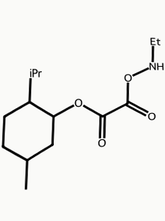 CCNOC(=O)C(=O)OC1CC(C)CCC1C(C)C